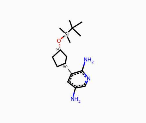 CC(C)(C)[Si](C)(C)O[C@H]1CC[C@@H](c2cc(N)cnc2N)C1